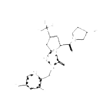 O=C(C1CC(C(F)(F)F)Cc2nn(Cc3ncc(F)cc3F)c(=O)n21)N1CC[C@H](F)C1